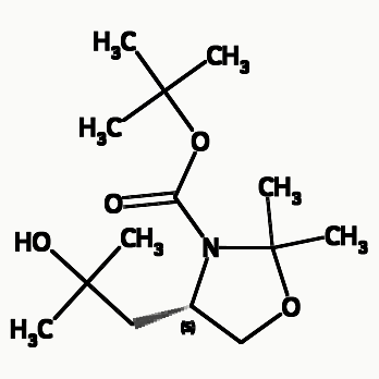 CC(C)(O)C[C@H]1COC(C)(C)N1C(=O)OC(C)(C)C